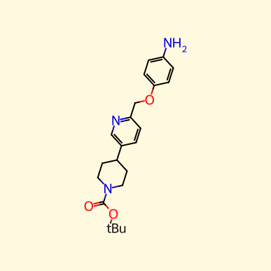 CC(C)(C)OC(=O)N1CCC(c2ccc(COc3ccc(N)cc3)nc2)CC1